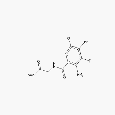 COC(=O)CNC(=O)c1cc(Cl)c(Br)c(F)c1N